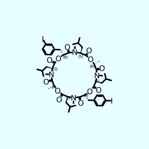 CC(C)C[C@H]1C(=O)O[C@H](Cc2cccc(I)c2)C(=O)N(C)[C@@H](CC(C)C)C(=O)O[C@H](C)C(=O)N(C)[C@@H](CC(C)C)C(=O)O[C@H](Cc2ccc(I)cc2)C(=O)N(C)[C@@H](CC(C)C)C(=O)O[C@H](C)C(=O)N1C